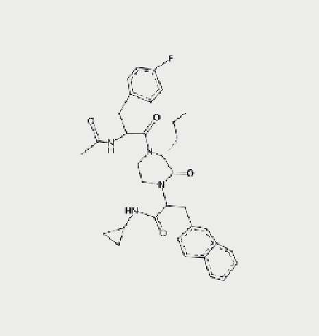 CCC[C@@H]1C(=O)N(C(Cc2ccc3ccccc3c2)C(=O)NC2CC2)CCN1C(=O)C(Cc1ccc(F)cc1)NC(C)=O